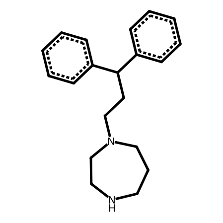 c1ccc(C(CCN2CCCNCC2)c2ccccc2)cc1